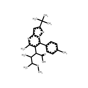 COC(C)C(C)C(C(=O)O)c1c(C)nc2cc(C(C)(C)C)nn2c1-c1ccc(C)cc1